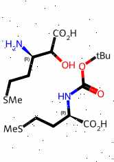 CSCC[C@@H](N)C(O)C(=O)O.CSCC[C@@H](NC(=O)OC(C)(C)C)C(=O)O